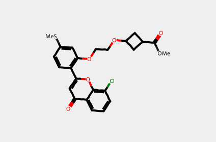 COC(=O)C1CC(OCCOc2cc(SC)ccc2-c2cc(=O)c3cccc(Cl)c3o2)C1